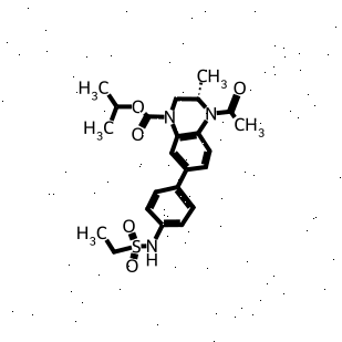 CCS(=O)(=O)Nc1ccc(-c2ccc3c(c2)N(C(=O)OC(C)C)C[C@H](C)N3C(C)=O)cc1